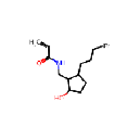 C=CC(=O)NCC1C(O)CCC1CCCC(C)C